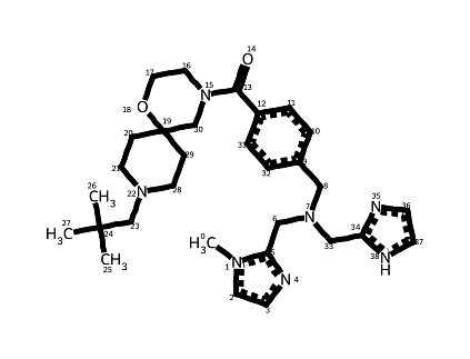 Cn1ccnc1CN(Cc1ccc(C(=O)N2CCOC3(CCN(CC(C)(C)C)CC3)C2)cc1)Cc1ncc[nH]1